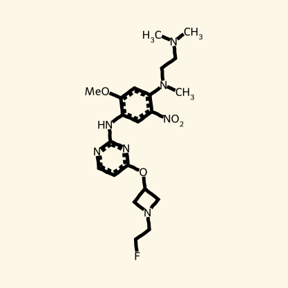 COc1cc(N(C)CCN(C)C)c([N+](=O)[O-])cc1Nc1nccc(OC2CN(CCF)C2)n1